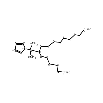 CCCCCCCCCCCCCCCCCCC(CCCCCCCCCCCCCCC)C(C)(C)n1ccnc1